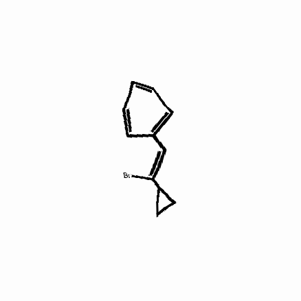 BrC(=Cc1ccccc1)C1CC1